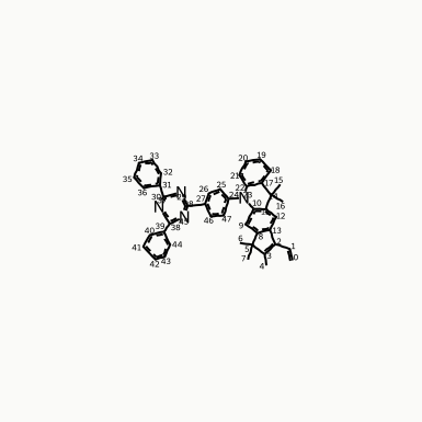 C=CC1=C(C)C(C)(C)c2cc3c(cc21)C(C)(C)c1ccccc1N3c1ccc(-c2nc(-c3ccccc3)nc(-c3ccccc3)n2)cc1